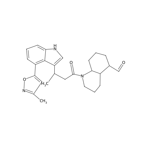 Cc1cc(-c2cccc3[nH]cc(C(C)CC(=O)N4CCCC5C(C=O)CCCC54)c23)on1